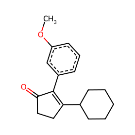 COc1cccc(C2=C(C3CCCCC3)CCC2=O)c1